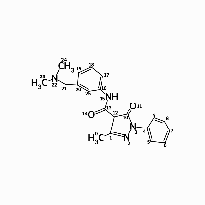 CC1=NN(c2ccccc2)C(=O)C1C(=O)Nc1cccc(CN(C)C)c1